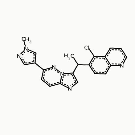 CC(c1ccc2ncccc2c1Cl)c1cnc2ccc(-c3cnn(C)c3)nn12